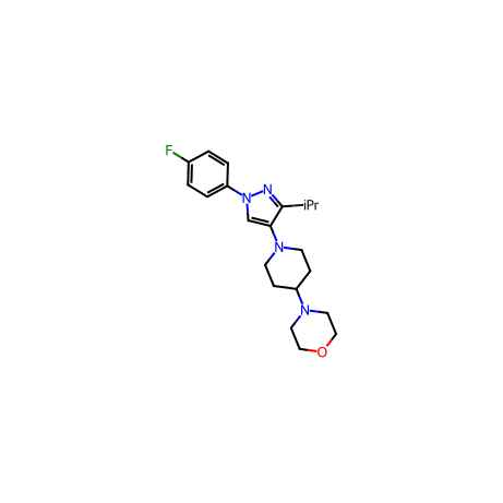 CC(C)c1nn(-c2ccc(F)cc2)cc1N1CCC(N2CCOCC2)CC1